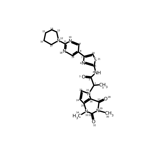 CC(C(=O)Nc1nc(-c2cnc(N3CCCCC3)nc2)cs1)n1ccc2c1c(=O)n(C)c(=O)n2C